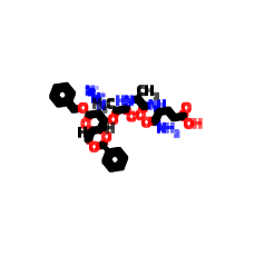 C[C@H](NC(=O)[C@@H](C)O[C@@H]1[C@@H](N=[N+]=[N-])[C@H](OCc2ccccc2)O[C@@H]2CO[C@H](c3ccccc3)O[C@@H]12)C(=O)NC(CCC(=O)O)C(N)=O